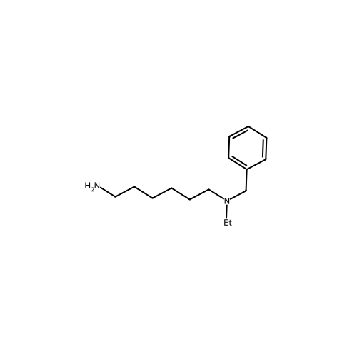 CCN(CCCCCCN)Cc1ccccc1